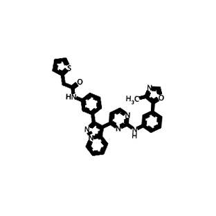 Cc1ncoc1-c1cccc(Nc2nccc(-c3c(-c4cccc(NC(=O)Cc5cccs5)c4)nn4ccccc34)n2)c1